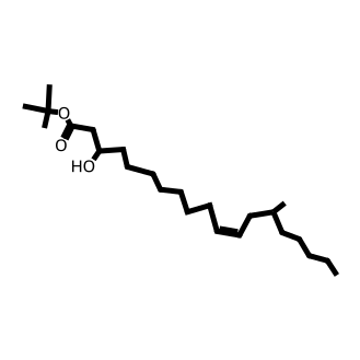 CCCCCC(C)C/C=C\CCCCCCCC(O)CC(=O)OC(C)(C)C